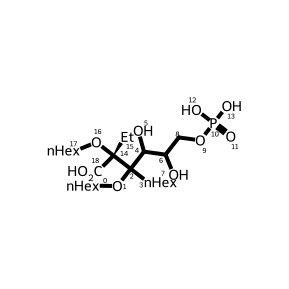 CCCCCCOC(CCCCCC)(C(O)C(O)COP(=O)(O)O)[C@@](CC)(OCCCCCC)C(=O)O